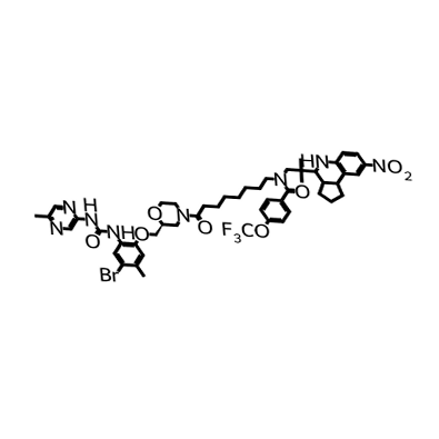 Cc1cnc(NC(=O)Nc2cc(Br)c(C)cc2OC[C@@H]2CN(C(=O)CCCCCCCN(CC(C)(C)C3Nc4ccc([N+](=O)[O-])cc4C4CCCC43)C(=O)c3ccc(OC(F)(F)F)cc3)CCO2)cn1